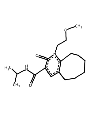 COCCn1c2c(cc(C(=O)NC(C)C)c1=O)CCCCCC2